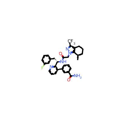 CC1CCCc2c(C(F)(F)F)nn(CC(=O)N[C@@H](Cc3cccc(F)c3)c3ncccc3-c3cccc(C(N)=O)c3)c21